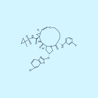 CC1(S(=O)(=O)NC(=O)[C@@]23C[C@H]2/C=C\CCCCC[C@H](Nc2cccc(F)c2)C(=O)N2C[C@H](Oc4nc5ccc(Cl)cc5s4)C[C@H]2C(=O)N3)CC1